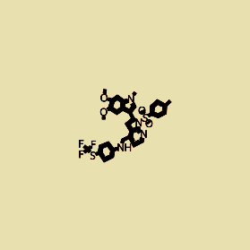 COc1cc2c(-c3cc4c(CNc5ccc(SC(F)(F)F)cc5)ccnc4n3S(=O)(=O)c3ccc(C)cc3)cn(C)c2cc1OC